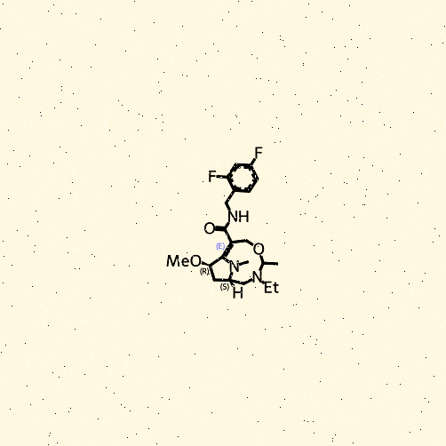 CCN1C[C@@H]2C[C@@H](OC)/C(=C(\C(=O)NCc3ccc(F)cc3F)COC1C)N2C